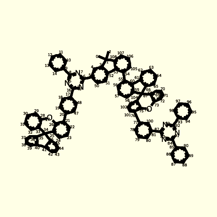 CC1(C)c2cc(-c3nc(-c4ccccc4)nc(-c4ccc(-c5cccc6c5Oc5ccccc5C65c6ccccc6-c6ccccc65)cc4)n3)ccc2-c2c(-c3cccc4c3-c3ccccc3C43c4ccccc4Oc4c(-c5cccc(-c6nc(-c7ccccc7)nc(-c7ccccc7)n6)c5)cccc43)cccc21